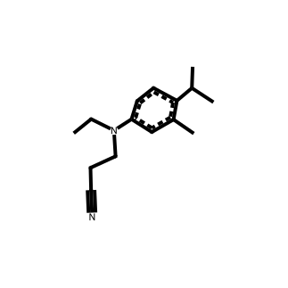 CCN(CCC#N)c1ccc(C(C)C)c(C)c1